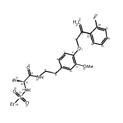 C=C(COc1ccc(CCNC(=O)[C@@H](NS(=O)(=O)CC)C(C)C)cc1OC)c1ccccc1F